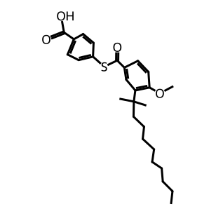 CCCCCCCCCC(C)(C)c1cc(C(=O)Sc2ccc(C(=O)O)cc2)ccc1OC